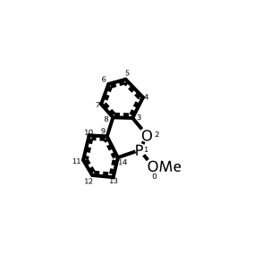 COP1Oc2ccccc2-c2ccccc21